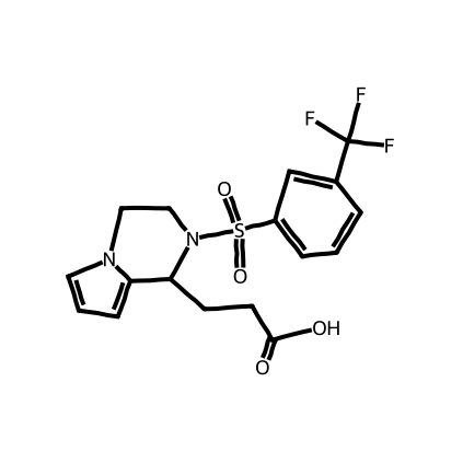 O=C(O)CCC1c2cccn2CCN1S(=O)(=O)c1cccc(C(F)(F)F)c1